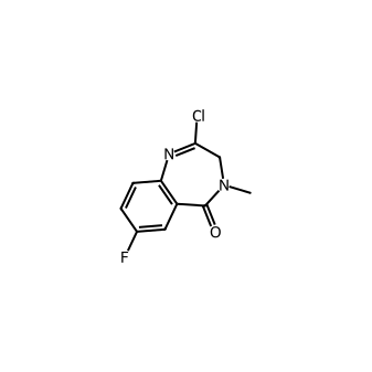 CN1CC(Cl)=Nc2ccc(F)cc2C1=O